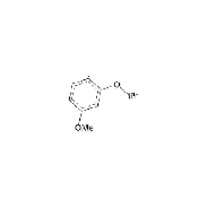 COc1cc[c]c(OC(C)C)c1